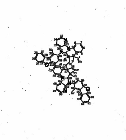 C=CC1(C)c2ccccc2N2c3ncccc3N(c3ccc4oc5ccccc5c4c3C)C2C1(C)CCC1(C=C)c2ccccc2N2c3cccnc3N(c3ccc4oc5ccccc5c4c3C)C2C1(C)C